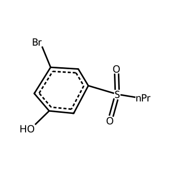 CCCS(=O)(=O)c1cc(O)cc(Br)c1